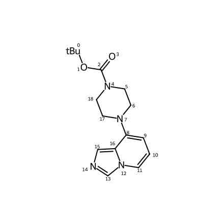 CC(C)(C)OC(=O)N1CCN(c2cccn3cncc23)CC1